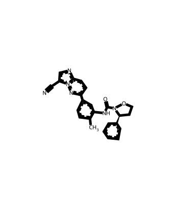 Cc1ccc(-c2ccc3ncc(C#N)n3n2)cc1NC(=O)N1OCC[C@H]1c1ccccc1